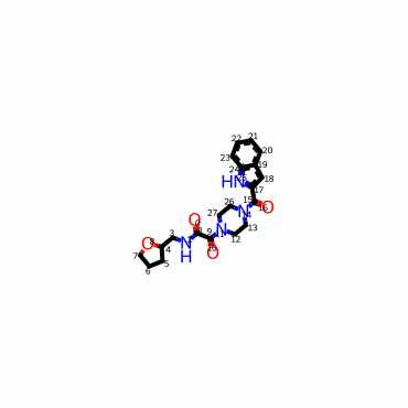 O=C(NCC1CCCO1)C(=O)N1CCN(C(=O)c2cc3ccccc3[nH]2)CC1